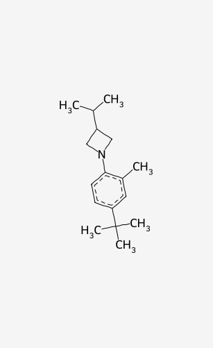 Cc1cc(C(C)(C)C)ccc1N1CC(C(C)C)C1